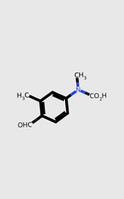 Cc1cc(N(C)C(=O)O)ccc1C=O